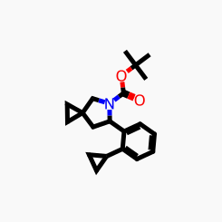 CC(C)(C)OC(=O)N1CC2(CC2)CC1c1ccccc1C1CC1